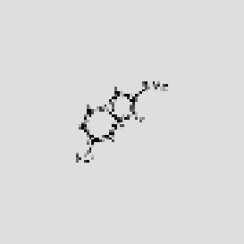 CNc1cn2ccc(C#N)cc2n1